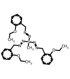 CCOc1ccccc1CN=N[Si](C)(N=NCc1ccccc1OCC)N=NCc1ccccc1OCC